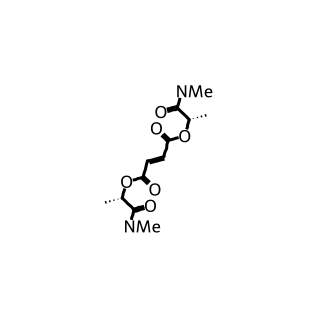 CNC(=O)[C@H](C)OC(=O)/C=C/C(=O)O[C@@H](C)C(=O)NC